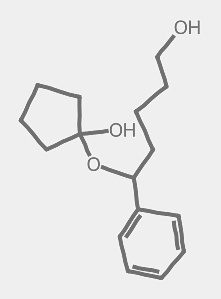 OCCCCC(OC1(O)CCCC1)c1ccccc1